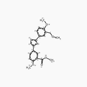 COCc1cc(-c2nc(-c3ccc(OC)c(C(=O)OC)c3)cs2)ccc1OC